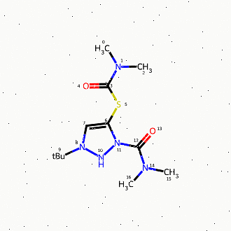 CN(C)C(=O)SC1=CN(C(C)(C)C)NN1C(=O)N(C)C